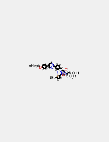 CCCCCCCOc1ccc(C2=CCN=C(c3ccc(C[C@H](NC(=O)c4ccc(C(C)(C)C)s4)C(=O)N[C@H](CC(=O)O)C(=O)O)cc3)N=C2)cc1